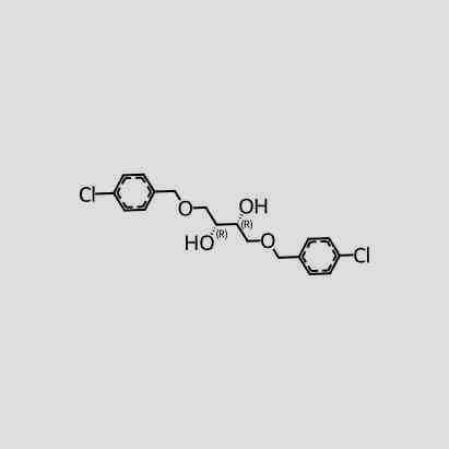 O[C@H](COCc1ccc(Cl)cc1)[C@H](O)COCc1ccc(Cl)cc1